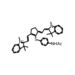 CC(=O)Nc1ccc(SC2=C(/C=C/C3=[N+](C)c4ccccc4C3(C)C)CC/C2=C\C=C2\N(C)c3ccccc3C2(C)C)cc1